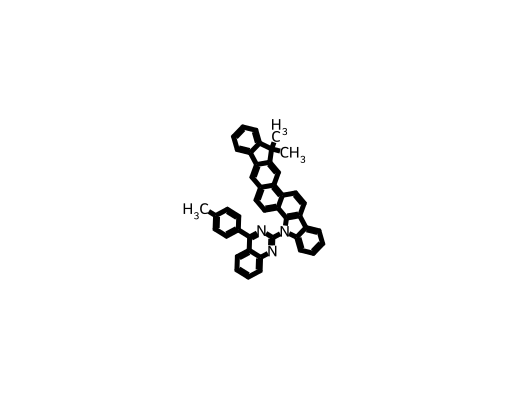 Cc1ccc(-c2nc(-n3c4ccccc4c4ccc5c6cc7c(cc6ccc5c43)-c3ccccc3C7(C)C)nc3ccccc23)cc1